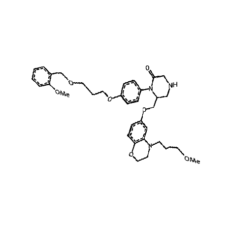 COCCCN1CCOc2ccc(OCC3CNCC(=O)N3c3ccc(OCCCOCc4ccccc4OC)cc3)cc21